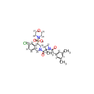 Cc1cc(C)cc(CC(=O)N2CCC2(C)C(=O)N(CCS(=O)(=O)N2CCOCC2)Cc2ccc(Cl)cc2)c1